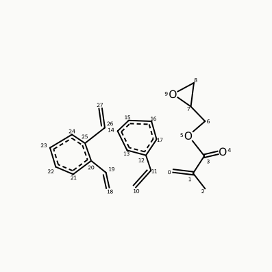 C=C(C)C(=O)OCC1CO1.C=Cc1ccccc1.C=Cc1ccccc1C=C